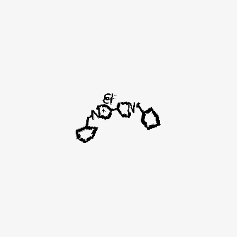 [Cl-].[Cl-].c1ccc(C[n+]2ccc(-c3cc[n+](Cc4ccccc4)cc3)cc2)cc1